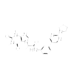 CC(C(=O)Nc1cccc(-c2cnc(N3CCC[C@@H]3C)nc2)c1)n1cnc2c1c(=O)n(C)c(=O)n2C